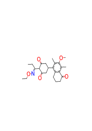 CCON=C(CC)C1C(=O)CC(c2c(C)c(OC)c(C)c3c2CCCC3=O)CC1=O